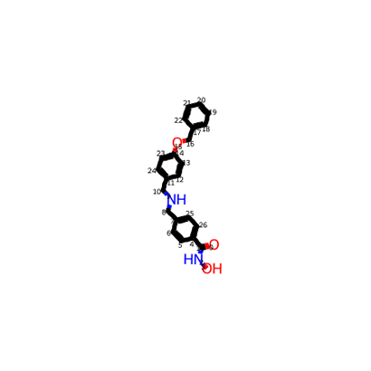 O=C(NO)c1ccc(CNCc2ccc(OCc3ccccc3)cc2)cc1